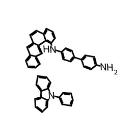 Nc1ccc(-c2ccc(Nc3cccc4ccc5cc6ccccc6cc5c34)cc2)cc1.c1ccc(-n2c3ccccc3c3ccccc32)cc1